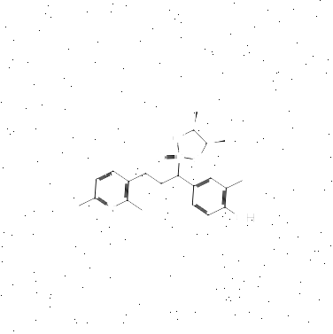 Cc1ccc(CCC(c2ccc(O)c(C)c2)P2(=O)O[C@@H](C)[C@@H](C)O2)c(C)n1